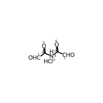 Cl.O=CC(=O)NC(=O)C=O